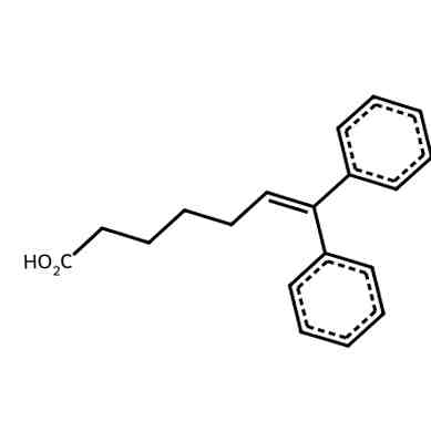 O=C(O)CCCCC=C(c1ccccc1)c1ccccc1